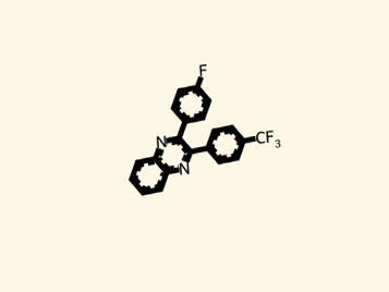 Fc1ccc(-c2nc3ccccc3nc2-c2ccc(C(F)(F)F)cc2)cc1